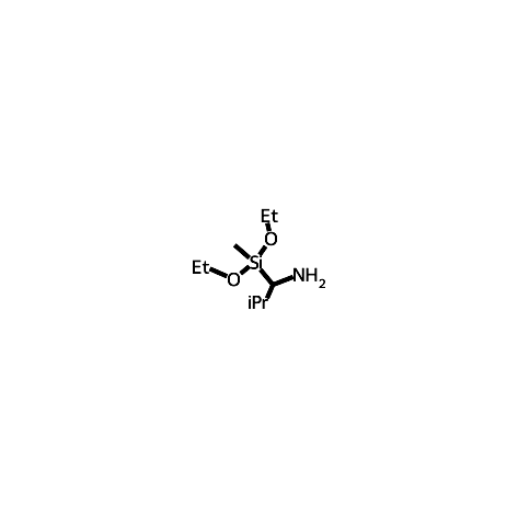 CCO[Si](C)(OCC)C(N)C(C)C